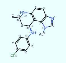 CC(=O)n1cnc2ccc3c(c21)[C@@H](Nc1ccc(Cl)cc1)C[C@@H](C)N3